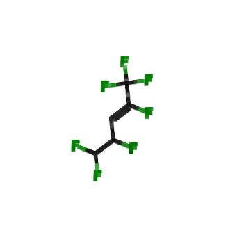 FC(=CC(F)C(F)F)C(F)(F)F